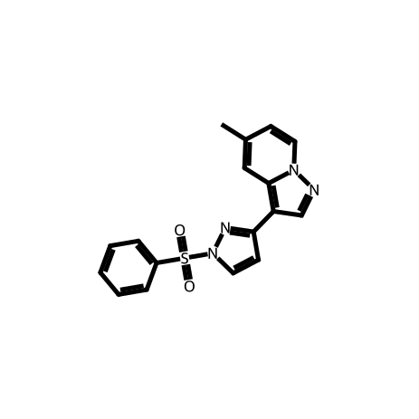 Cc1ccn2ncc(-c3ccn(S(=O)(=O)c4ccccc4)n3)c2c1